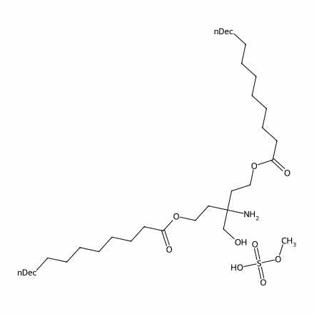 CCCCCCCCCCCCCCCCCC(=O)OCCC(N)(CO)CCOC(=O)CCCCCCCCCCCCCCCCC.COS(=O)(=O)O